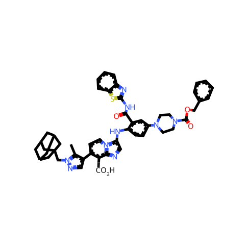 Cc1c(-c2ccn3c(Nc4ccc(N5CCN(C(=O)OCc6ccccc6)CC5)cc4C(=O)Nc4nc5ccccc5s4)cnc3c2C(=O)O)cnn1CC12CC3CC(CC(C3)C1)C2